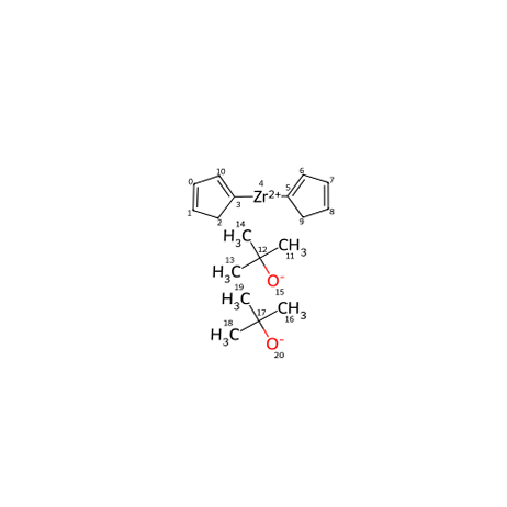 C1=CC[C]([Zr+2][C]2=CC=CC2)=C1.CC(C)(C)[O-].CC(C)(C)[O-]